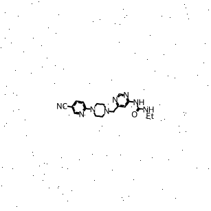 CCNC(=O)Nc1cc(CN2CCN(c3ccc(C#N)cn3)CC2)ncn1